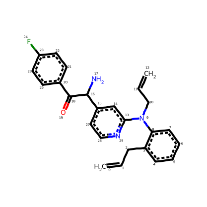 C=CCc1ccccc1N(CC=C)c1cc(C(N)C(=O)c2ccc(F)cc2)ccn1